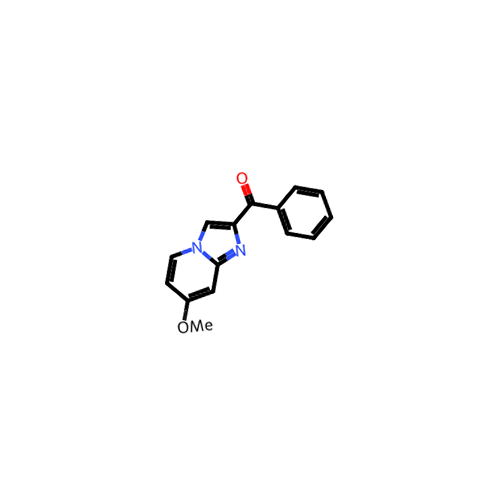 COc1ccn2cc(C(=O)c3ccccc3)nc2c1